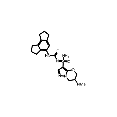 CNC1COc2c(S(N)(=O)=NC(=O)Nc3cc4c(c5c3CCC5)CCC4)cnn2C1